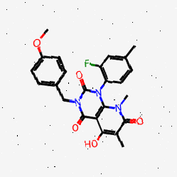 COc1ccc(Cn2c(=O)c3c(O)c(C)c(=O)n(C)c3n(-c3ccc(C)cc3F)c2=O)cc1